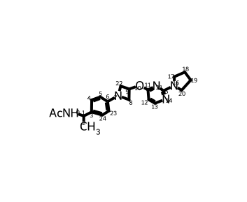 CC(=O)NC(C)c1ccc(N2CC(Oc3ccnc(N4CCCC4)n3)C2)cc1